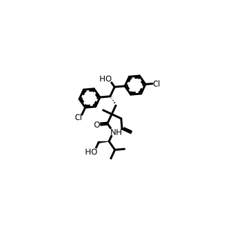 C=CCC(C)(C[C@H](c1cccc(Cl)c1)C(O)c1ccc(Cl)cc1)C(=O)N[C@H](CO)C(C)C